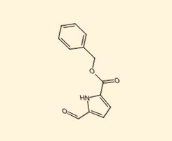 O=Cc1ccc(C(=O)OCc2ccccc2)[nH]1